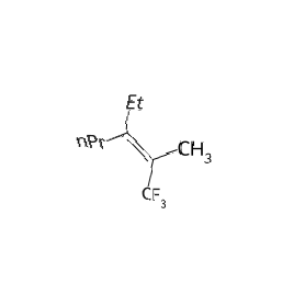 CCC/C(CC)=C(/C)C(F)(F)F